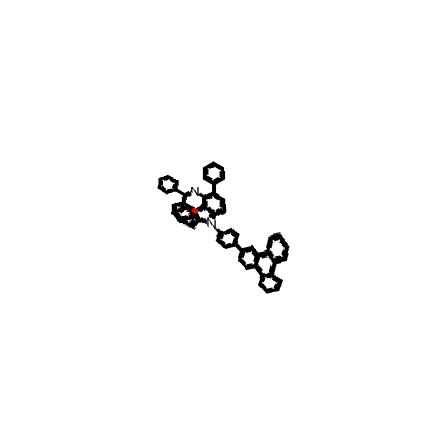 c1ccc(C(=Nc2c(-c3ccccc3)ccc3c2c2ccccc2n3-c2ccc(-c3ccc4c5ccccc5c5ccccc5c4c3)cc2)c2ccccc2)cc1